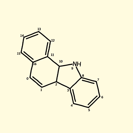 C1=CC2c3ccccc3NC2c2ccccc21